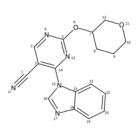 N#Cc1cnc(OC2CCCOC2)nc1-n1cnc2ccccc21